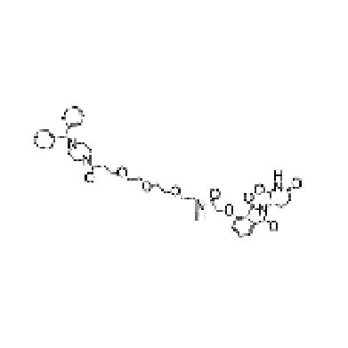 O=C(COc1cccc2c1C(=O)N(C1CCC(=O)NC1=O)C2=O)NCCOCCOCCOCCC(=O)N1CCN(C(c2ccccc2)c2ccccc2)CC1